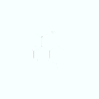 CCOC(OCC)/C(=C\O)C(=O)OC